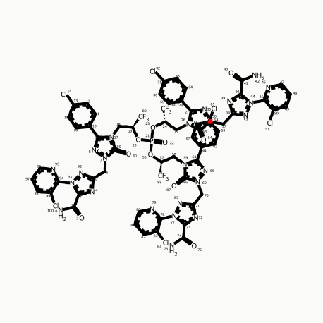 NC(=O)c1nc(Cn2nc(-c3ccc(Cl)cc3)n(C[C@H](OP(=O)(O[C@@H](Cn3c(-c4ccc(Cl)cc4)nn(Cc4nc(C(N)=O)n(-c5ncccc5Cl)n4)c3=O)C(F)(F)F)O[C@@H](Cn3c(-c4ccc(Cl)cc4)nn(Cc4nc(C(N)=O)n(-c5ncccc5Cl)n4)c3=O)C(F)(F)F)C(F)(F)F)c2=O)nn1-c1ncccc1Cl